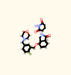 O=C1CC[C@H](N2Cc3c(OCc4cc(CN5CCOCC5)ccc4F)cccc3C2=O)C(=O)N1